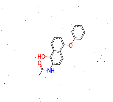 CC(=O)Nc1ccc2c(Oc3ccccc3)cccc2c1O